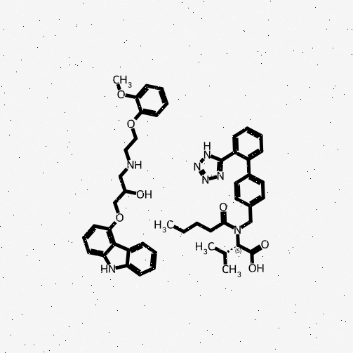 CCCCC(=O)N(Cc1ccc(-c2ccccc2-c2nnn[nH]2)cc1)[C@H](C(=O)O)C(C)C.COc1ccccc1OCCNCC(O)COc1cccc2[nH]c3ccccc3c12